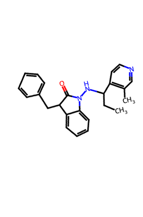 CCC(NN1C(=O)C(Cc2ccccc2)c2ccccc21)c1ccncc1C